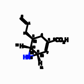 C=CC[C@H]1CC(C(=O)O)=C[C@@H]2N[C@H]12